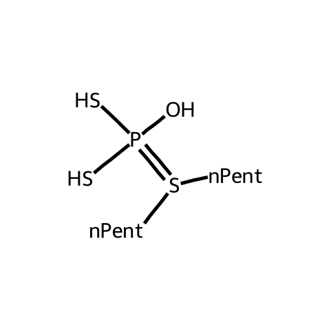 CCCCCS(CCCCC)=P(O)(S)S